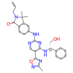 C=CCN1C(=O)c2ccc(Nc3ncc(-c4nc(C)no4)c(N[C@H](CO)c4ccccc4)n3)cc2C1(C)C